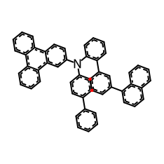 c1ccc(-c2ccc(N(c3ccc4c5ccccc5c5ccccc5c4c3)c3ccccc3-c3cccc(-c4cccc5ccccc45)c3)cc2)cc1